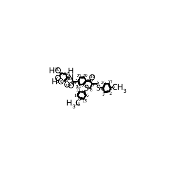 Cc1ccc(SCC(CSc2ccc(C)cc2)C(=O)c2ccc(C(=O)NC(CC(=O)O)C(=O)O)cc2)cc1